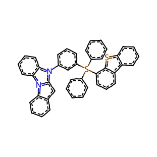 c1ccc(S(c2ccccc2)(c2cccc(-n3c4ccccc4n4c5ccccc5cc34)c2)c2cccc3c2sc2ccccc23)cc1